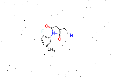 Cc1ccc(F)c(N2C(=O)CC(CC#N)C2=O)c1